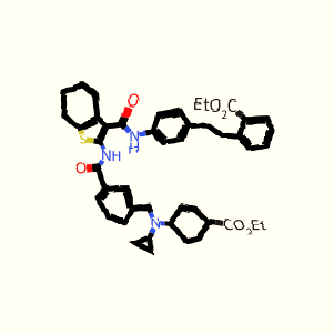 CCOC(=O)c1ccccc1CCc1ccc(NC(=O)c2c(NC(=O)c3cccc(CN(C4CCC(C(=O)OCC)CC4)C4CC4)c3)sc3c2CCCC3)cc1